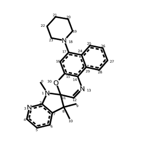 CN1c2ncccc2C(C)(C)C12C=Nc1c(cc(N3CCCCC3)c3ccccc13)O2